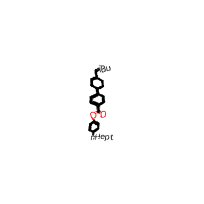 CCCCCCCc1ccc(OC(=O)c2ccc(C3CCC(CC(C)CC)CC3)cc2)cc1